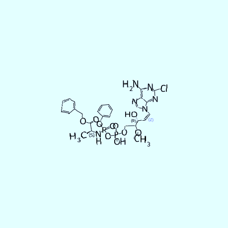 COC(COP(=O)(O)OP(=O)(N[C@@H](C)C(=O)OCc1ccccc1)Oc1ccccc1)[C@H](O)/C=C\n1cnc2c(N)nc(Cl)nc21